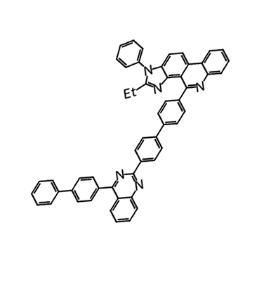 CCc1nc2c3c(-c4ccc(-c5ccc(-c6nc(-c7ccc(-c8ccccc8)cc7)c7ccccc7n6)cc5)cc4)nc4ccccc4c3ccc2n1-c1ccccc1